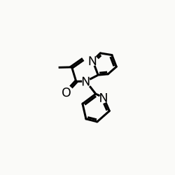 C=C(C)C(=O)N(c1ccccn1)c1ccccn1